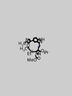 CCN1Cc2c(c(OC(C)C)nn2CC(=O)OC)/C=C/c2n[nH]c3ccc(cc23)-c2cnn(C)c2O[C@@H](C)C1